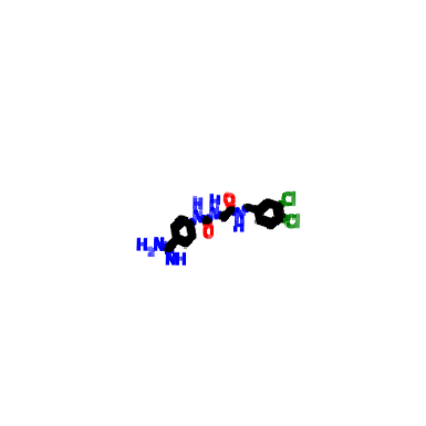 N=C(N)c1ccc(NC(=O)NCC(=O)NCc2ccc(Cl)c(Cl)c2)cc1